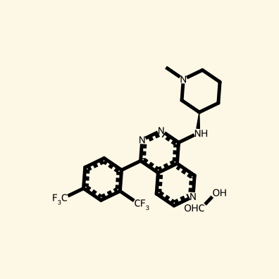 CN1CCC[C@@H](Nc2nnc(-c3ccc(C(F)(F)F)cc3C(F)(F)F)c3ccncc23)C1.O=CO